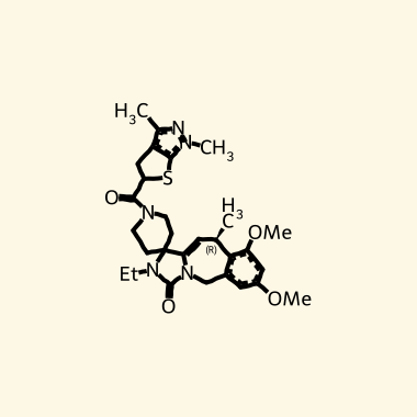 CCN1C(=O)N2Cc3cc(OC)cc(OC)c3[C@H](C)C=C2C12CCN(C(=O)C1Cc3c(C)nn(C)c3S1)CC2